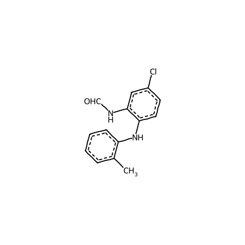 Cc1ccccc1Nc1ccc(Cl)cc1NC=O